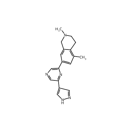 Cc1cc(-c2cncc(-c3cn[nH]c3)n2)cc2c1CCN(C)C2